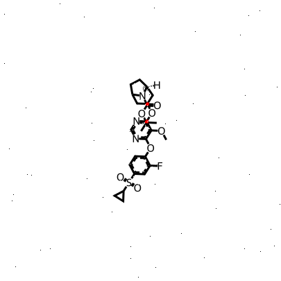 COc1c(Oc2ccc(S(=O)(=O)C3CC3)cc2F)ncnc1OC1CC2CC[C@@H](C1)N2C(=O)OC(C)C